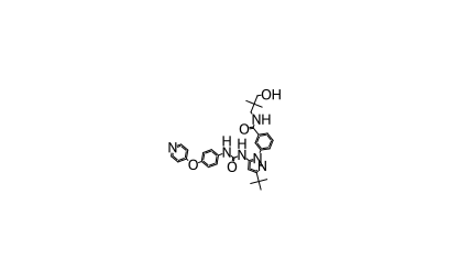 CC(C)(CO)CNC(=O)c1cccc(-n2nc(C(C)(C)C)cc2NC(=O)Nc2ccc(Oc3ccncc3)cc2)c1